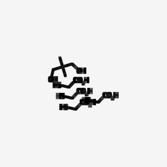 CC(C)(CO)CO.O=C(O)CS.O=C(O)CS.O=C(O)CS.O=C(O)CS